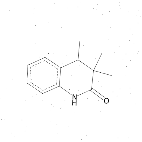 CC1c2ccccc2NC(=O)C1(C)C